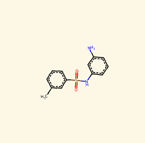 Cc1cccc(S(=O)(=O)Nc2cccc(N)c2)c1